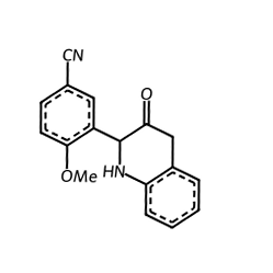 COc1ccc(C#N)cc1C1Nc2ccccc2CC1=O